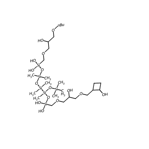 CCCCOCC(O)COC[Si](O)(O)O[Si](C)(C)O[Si](C)(C)[Si](C)(O[Si](C)(C)C)O[Si](O)(O)COCC(O)COCC1CCC1O